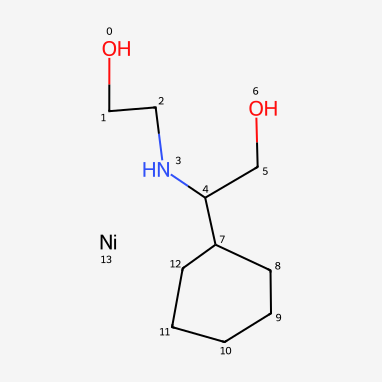 OCCNC(CO)C1CCCCC1.[Ni]